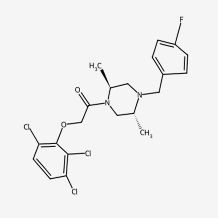 C[C@@H]1CN(C(=O)COc2c(Cl)ccc(Cl)c2Cl)[C@@H](C)CN1Cc1ccc(F)cc1